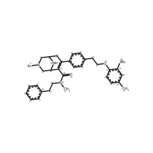 CC(=O)N1CC2CC(c3ccc(CCOc4ccc(C)cc4C(C)(C)C)cc3)=C(C(=O)N(C)CCc3ccccc3)C(C1)N2